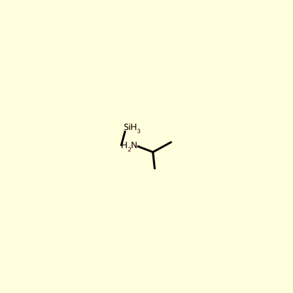 CC(C)N.C[SiH3]